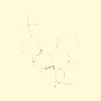 CC1C2CCC(C(Oc3ccc(C(F)(F)F)cn3)C2)N1C(=O)c1ncccc1-n1nccn1